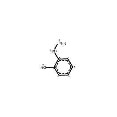 CCCC(C)Nc1ccccc1O